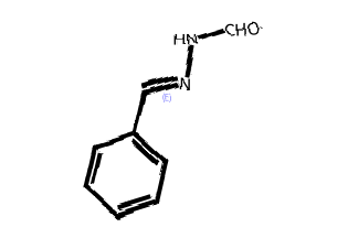 O=[C]N/N=C/c1ccccc1